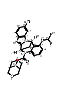 O=C(CN1C2COCC1COC2)N1c2cccc(OC(F)F)c2[C@H]2C[C@@H]1c1nc3ccc(Cl)cc3n12